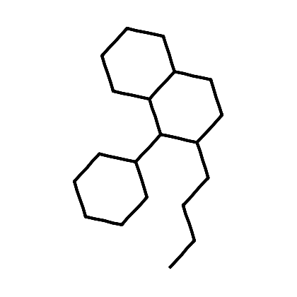 CCCCC1CCC2CCCCC2C1C1CCCCC1